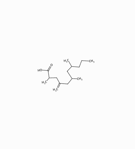 C=C(CC(C)CC(C)CCC)CC(C)C(=O)O